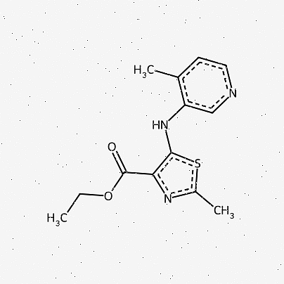 CCOC(=O)c1nc(C)sc1Nc1cnccc1C